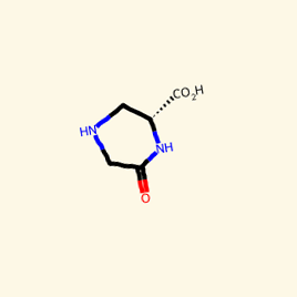 O=C1CNC[C@H](C(=O)O)N1